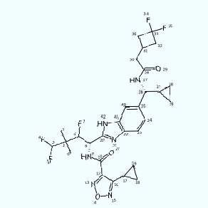 CC(C)(C(F)F)C(F)[C@@H](NC(=O)c1nonc1C1CC1)c1nc2ccc([C@H](NC(=O)CC3CC(F)(F)C3)C3CC3)cc2[nH]1